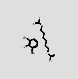 CC(C)(C)c1cccc(C(C)(C)C)c1O.CCC(=O)OCCCCCCOC(=O)CC